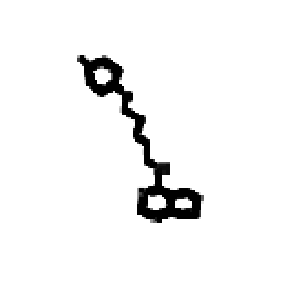 Cc1ccc(OCCCCCNc2ncnc3ccccc23)cc1